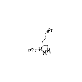 CCCn1nncc1CCCC(C)C